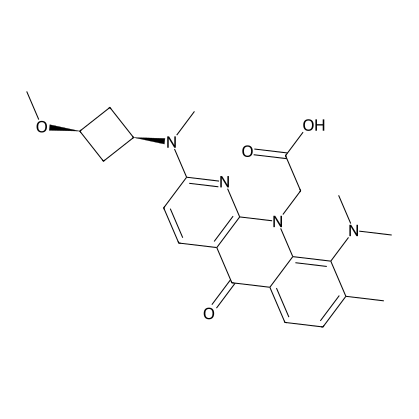 CO[C@H]1C[C@@H](N(C)c2ccc3c(=O)c4ccc(C)c(N(C)C)c4n(CC(=O)O)c3n2)C1